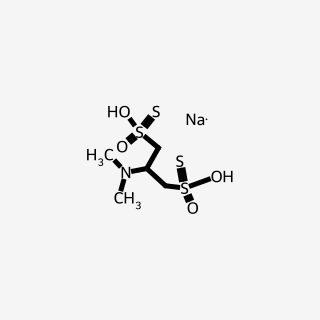 CN(C)C(CS(=O)(O)=S)CS(=O)(O)=S.[Na]